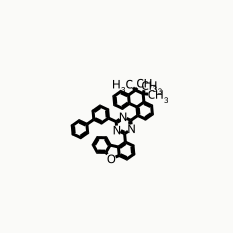 CC1(C)c2ccccc2-c2c(-c3nc(-c4cccc(-c5ccccc5)c4)nc(-c4cccc5oc6ccccc6c45)n3)cccc2C1(C)C